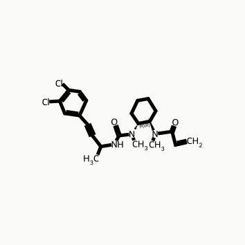 C=CC(=O)N(C)[C@@H]1CCCC[C@H]1N(C)C(=O)NC(C)C#Cc1ccc(Cl)c(Cl)c1